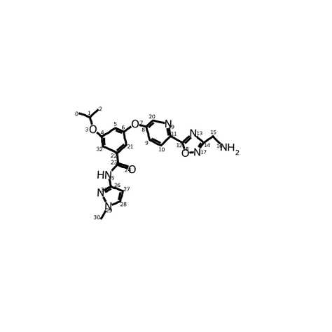 CC(C)Oc1cc(Oc2ccc(-c3nc(CN)no3)nc2)cc(C(=O)Nc2ccn(C)n2)c1